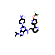 CC(C)n1cnc2c(NCc3cccnc3-c3ccc(OC(F)F)nc3)nc(N3CCC(N)CC3)nc21